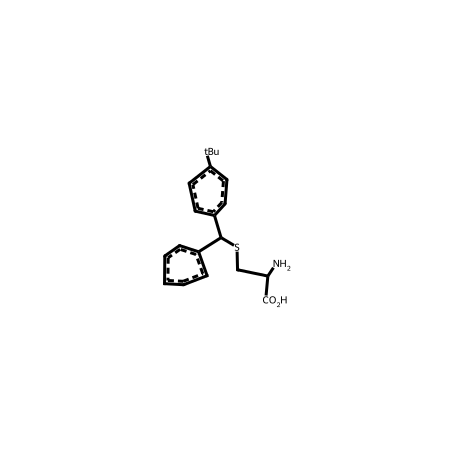 CC(C)(C)c1ccc(C(SCC(N)C(=O)O)c2ccccc2)cc1